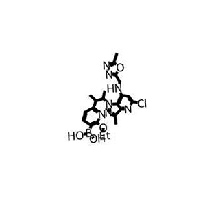 CCOc1nc(C(C)C(C)n2nc(C)c3nc(Cl)cc(NCc4nnc(C)o4)c32)ccc1B(O)O